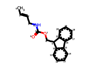 CC=CCNC(=O)OCC1c2ccccc2-c2ccccc21